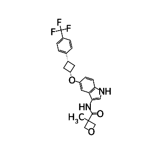 CC1(C(=O)Nc2c[nH]c3ccc(O[C@H]4C[C@@H](c5ccc(C(F)(F)F)cc5)C4)cc23)COC1